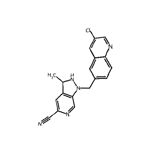 CC1NN(Cc2ccc3ncc(Cl)cc3c2)c2cnc(C#N)cc21